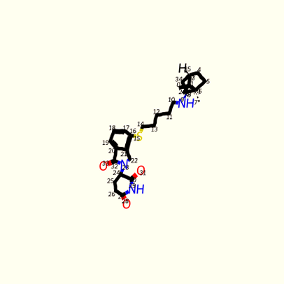 CC1(C)[C@@H]2CC[C@@]1(C)[C@@H](NCCCCCSc1cccc3c1CN(C1CCC(=O)NC1=O)C3=O)C2